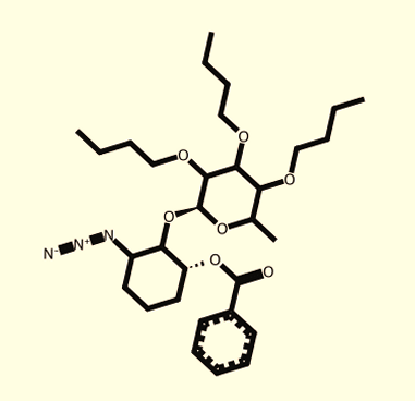 CCCCOC1C(C)O[C@@H](OC2C(N=[N+]=[N-])CCC[C@H]2OC(=O)c2ccccc2)C(OCCCC)C1OCCCC